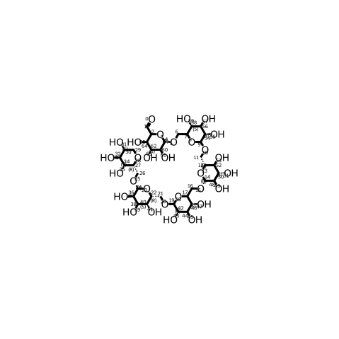 O=CC1O[C@@H](OCC2OC(OC[C@H]3O[C@@H](OCC4OC(OC[C@H]5O[C@@H](OC[C@H]6OC[C@H](O)C(O)[C@@H]6O)C(O)C(O)[C@@H]5O)[C@H](O)C(O)[C@@H]4O)C(O)[C@@H](O)C3O)[C@H](O)C(O)[C@@H]2O)C(O)[C@@H](O)C1O